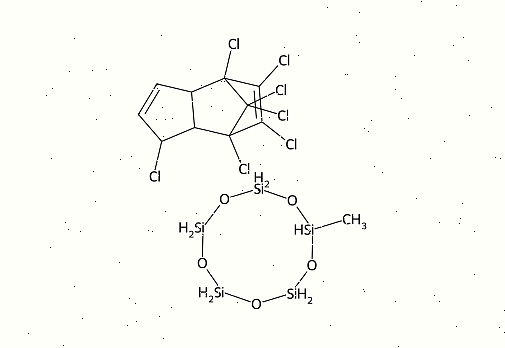 C[SiH]1O[SiH2]O[SiH2]O[SiH2]O[SiH2]O1.ClC1=C(Cl)C2(Cl)C3C(Cl)C=CC3C1(Cl)C2(Cl)Cl